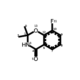 CC1(C)NC(=O)c2cccc(F)c2O1